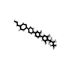 CCCC1CCC(C2CCC(c3ccc(-c4cc(F)c(C(F)(F)C(F)C(F)(F)F)c(F)c4)c(F)c3)CC2)CC1